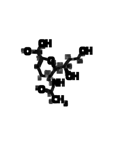 CC(=O)N[C@@H]1CC=C(C(=O)O)O[C@H]1[C@H](O)CCO